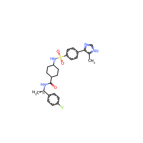 Cc1[nH]cnc1-c1ccc(S(=O)(=O)NC2CCC(C(=O)N[C@H](C)c3ccc(F)cc3)CC2)cc1